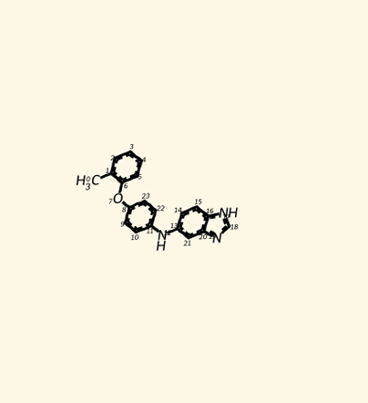 Cc1ccccc1Oc1ccc(Nc2ccc3[nH]cnc3c2)cc1